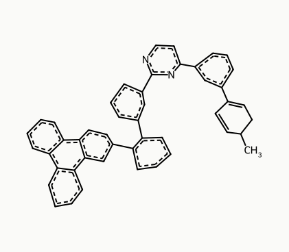 CC1C=CC(c2cccc(-c3ccnc(-c4cccc(-c5ccccc5-c5ccc6c7ccccc7c7ccccc7c6c5)c4)n3)c2)=CC1